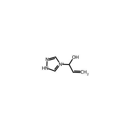 C=CC(O)[n+]1cn[nH]c1